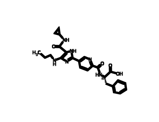 CCCNc1nc(-c2ccc(C(=O)N[C@@H](Cc3ccccc3)C(=O)O)nc2)[nH]c1C(=O)NC1CC1